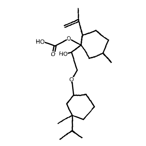 C=C(C)C1CCC(C)CC1(OC(=O)O)C(O)COC1CCCC(C)(C(C)C)C1